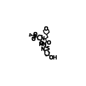 O=C(Nc1nc2ccc(O)cc2s1)C(CC1CCOCC1)n1ccc(S(=O)(=O)C2CC2)cc1=O